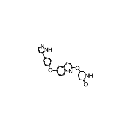 O=C1CCC(Oc2ccc3cc(Oc4ccc(-c5ccn[nH]5)cc4)ccc3n2)CN1